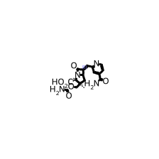 C[C@@]1(COC(N)=O)CC2/C(=C\c3cc(C(N)=O)ccn3)C(=O)N2[C@H]1C(=O)O